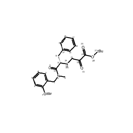 COc1ccccc1CN(C)C(=O)[C@H](Cc1ccccc1)NCC(=O)C(=O)OC(C)(C)C